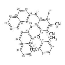 Cc1cccc(C)c1Oc1c(C#N)c(C#N)c(F)c(Sc2ccc3ccccc3c2)c1Sc1ccc2ccccc2c1